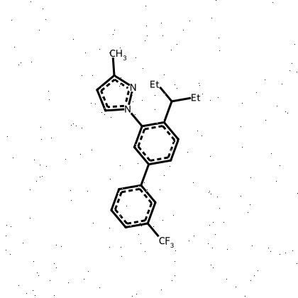 CCC(CC)c1ccc(-c2cccc(C(F)(F)F)c2)cc1-n1ccc(C)n1